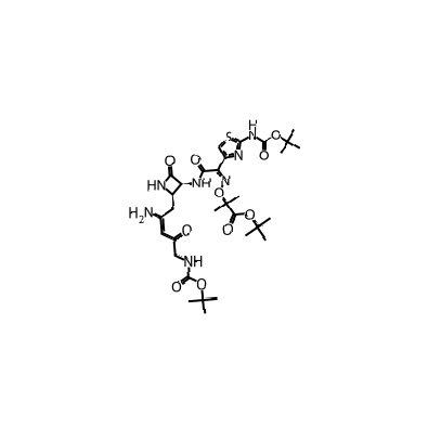 CC(C)(C)OC(=O)NCC(=O)/C=C(/N)C[C@H]1NC(=O)[C@H]1NC(=O)C(=NOC(C)(C)C(=O)OC(C)(C)C)c1csc(NC(=O)OC(C)(C)C)n1